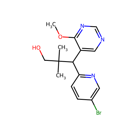 COc1ncncc1C(c1ccc(Br)cn1)C(C)(C)CO